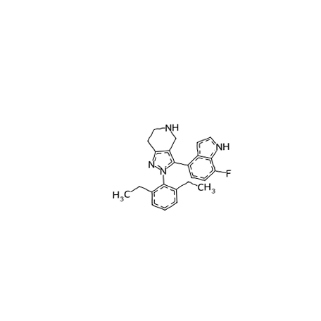 CCc1cccc(CC)c1-n1nc2c(c1-c1ccc(F)c3[nH]ccc13)CNCC2